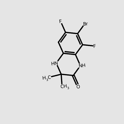 CC1(C)Nc2cc(F)c(Br)c(F)c2NC1=O